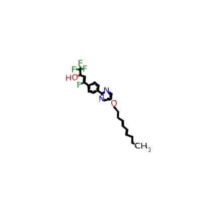 CCCCCCCCCCOc1cnc(-c2ccc(C(F)=CC(O)C(F)(F)F)cc2)nc1